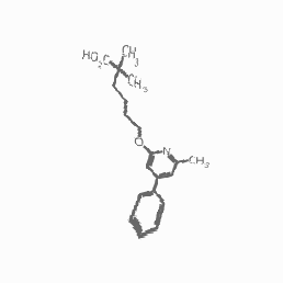 Cc1cc(-c2ccccc2)cc(OCCCCC(C)(C)C(=O)O)n1